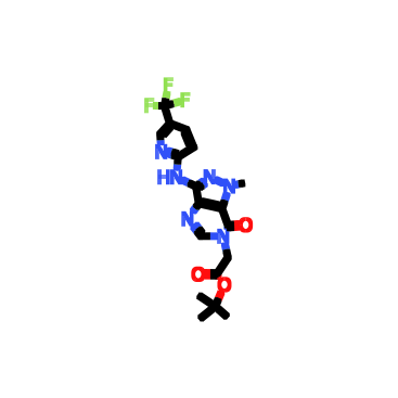 Cn1nc(Nc2ccc(C(F)(F)F)cn2)c2ncn(CC(=O)OC(C)(C)C)c(=O)c21